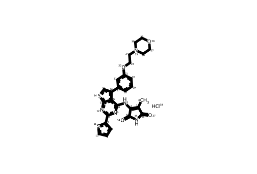 CC1=C(Nc2nc(-c3cccs3)nc3scc(-c4cccc(OCCN5CCOCC5)c4)c23)C(=O)NC1=O.Cl